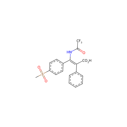 CS(=O)(=O)c1ccc(C(NC(=O)C(F)(F)F)=C(C(=O)O)c2ccccc2)cc1